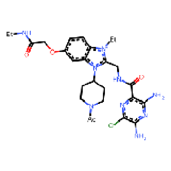 CCNC(=O)COc1ccc2c(c1)n(C1CCN(C(C)=O)CC1)c(CNC(=O)c1nc(Cl)c(N)nc1N)[n+]2CC